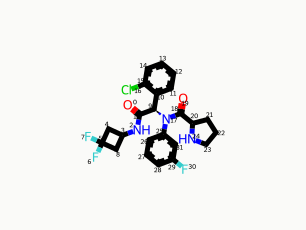 O=C(NC1CC(F)(F)C1)[C@H](c1ccccc1Cl)N(C(=O)C1CCCN1)c1cccc(F)c1